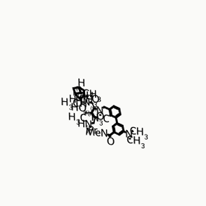 CNC(=O)c1cc(-c2cccc(CN3O[C@@H](CNC(C)C)[C@@H]([C@H](C)O)[C@H]3C(=O)N[C@H]3C[C@H]4C[C@@H]([C@@H]3C)C4(C)C)c2C)cc(N(C)C)c1